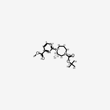 COC(=O)c1ccnc(N2CCCN(C(=O)OC(C)(C)C)C[C@@H]2C)n1